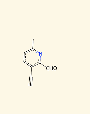 C#Cc1ccc(C)nc1C=O